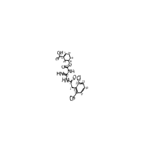 N=C(NC(=O)Cc1c(Cl)cccc1Cl)NC(=O)Oc1cccc(C(=O)O)c1